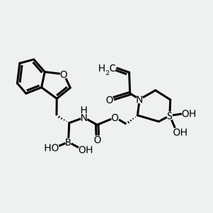 C=CC(=O)N1CCS(O)(O)C[C@@H]1COC(=O)N[C@@H](Cc1coc2ccccc12)B(O)O